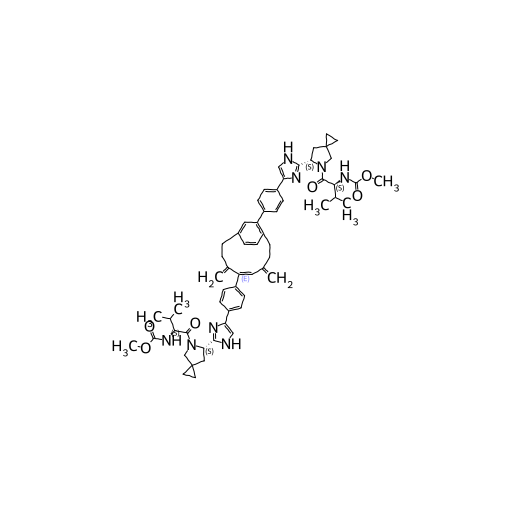 C=C1/C=C(/c2ccc(-c3c[nH]c([C@@H]4CC5(CC5)CN4C(=O)[C@@H](NC(=O)OC)C(C)C)n3)cc2)C(=C)CCc2ccc(c(-c3ccc(-c4c[nH]c([C@@H]5CC6(CC6)CN5C(=O)[C@@H](NC(=O)OC)C(C)C)n4)cc3)c2)CC1